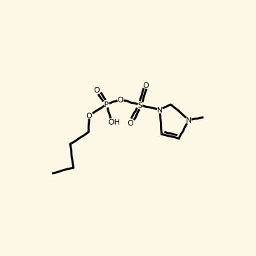 CCCCOP(=O)(O)OS(=O)(=O)N1C=CN(C)C1